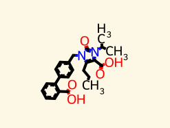 CCCc1c(C(=O)O)n(C(C)C)c(=O)n1Cc1ccc(-c2ccccc2C(=O)O)cc1